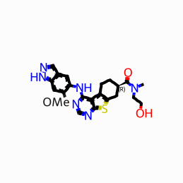 COc1cc2[nH]ncc2cc1Nc1ncnc2sc3c(c12)CC[C@@H](C(=O)N(C)CCO)C3